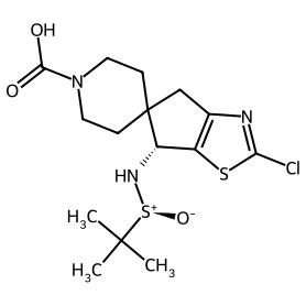 CC(C)(C)[S@+]([O-])N[C@H]1c2sc(Cl)nc2CC12CCN(C(=O)O)CC2